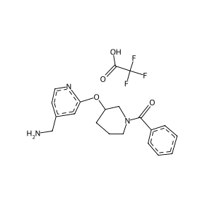 NCc1ccnc(OC2CCCN(C(=O)c3ccccc3)C2)c1.O=C(O)C(F)(F)F